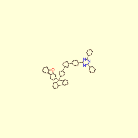 c1ccc(-c2nc(-c3ccccc3)nc(-c3ccc(-c4cccc(-c5ccc(C6(c7ccc8c(c7)oc7ccccc78)c7ccccc7-c7ccccc76)cc5)c4)cc3)n2)cc1